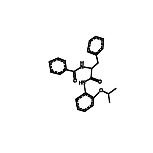 CC(C)Oc1ccccc1NC(=O)C(Cc1ccccc1)NC(=O)c1ccccc1